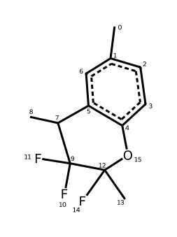 Cc1ccc2c(c1)C(C)C(F)(F)C(C)(F)O2